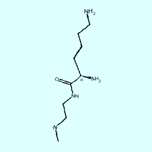 C[N]CCNC(=O)[C@H](N)CCCCN